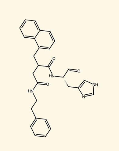 O=[C][C@H](Cc1c[nH]cn1)NC(=O)C(CC(=O)NCCc1ccccc1)Cc1cccc2ccccc12